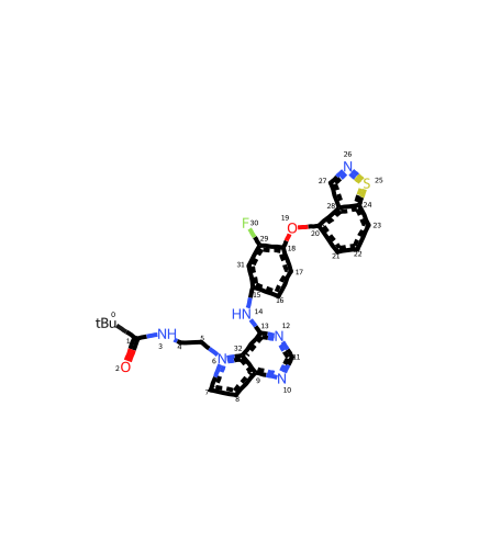 CC(C)(C)C(=O)NCCn1ccc2ncnc(Nc3ccc(Oc4cccc5sncc45)c(F)c3)c21